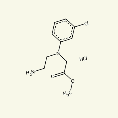 COC(=O)CN(CCN)c1cccc(Cl)c1.Cl